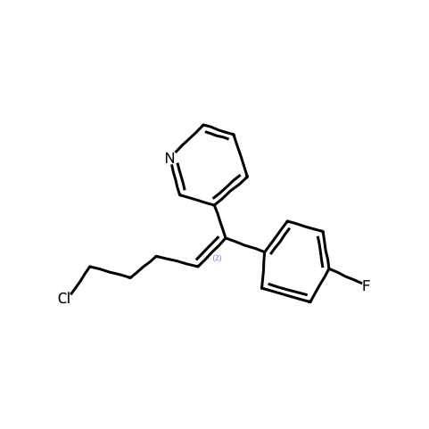 Fc1ccc(/C(=C/CCCCl)c2cccnc2)cc1